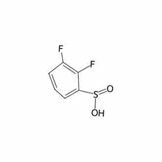 O=S(O)c1cccc(F)c1F